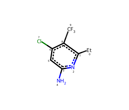 CCc1nc(N)cc(Cl)c1C(F)(F)F